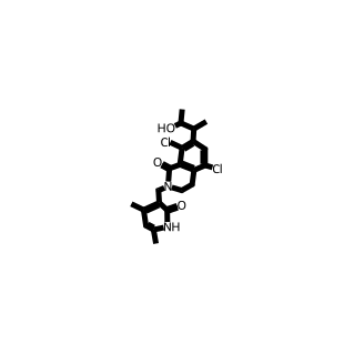 Cc1cc(C)c(CN2CCc3c(Cl)cc(C(C)C(C)O)c(Cl)c3C2=O)c(=O)[nH]1